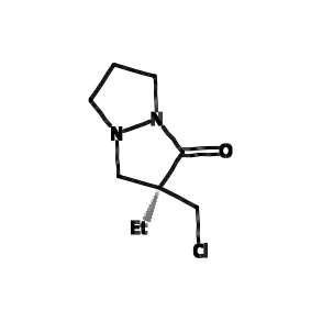 CC[C@]1(CCl)CN2CCCN2C1=O